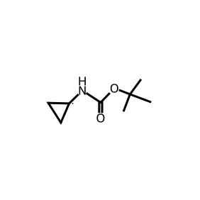 CC(C)(C)OC(=O)N[C]1CC1